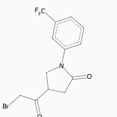 O=C(CBr)C1CC(=O)N(c2cccc(C(F)(F)F)c2)C1